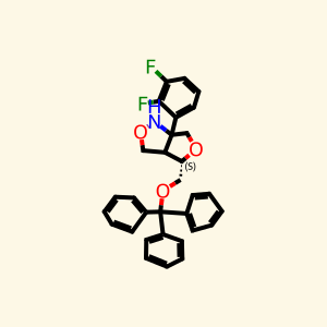 Fc1cccc(C23CO[C@H](COC(c4ccccc4)(c4ccccc4)c4ccccc4)C2CON3)c1F